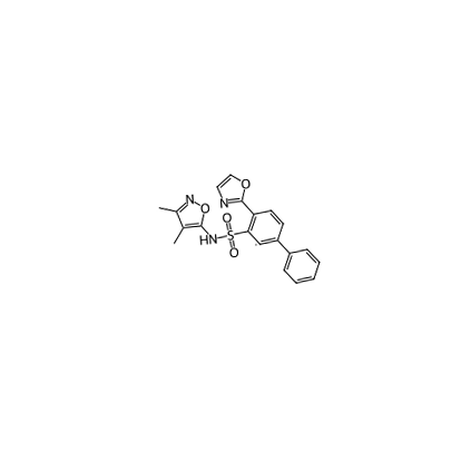 Cc1noc(NS(=O)(=O)c2[c]c(-c3ccccc3)ccc2-c2ncco2)c1C